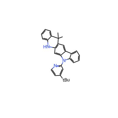 CC(C)(C)c1ccnc(-n2c3ccccc3c3cc4c(cc32)Nc2ccccc2C4(C)C)c1